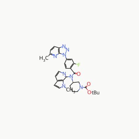 Cc1ccc2nnn(-c3ccc(C(=O)N(c4nccc5ccn(C)c45)[C@@H]4CCCN(C(=O)OC(C)(C)C)C4)c(F)c3)c2n1